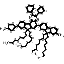 CCCCCCCCC1(CCCCCCCC)c2cc(C)ccc2-c2ccc(-c3cc4c(c5nc(-c6ccccc6)c(-c6ccccc6)nc35)-c3ccc(-c5ccc(C)cc5)cc3C4(CCCCCCCC)CCCCCCCC)cc21